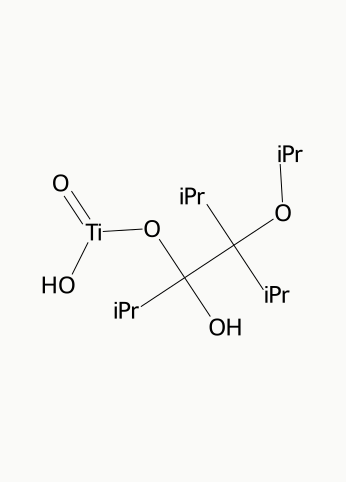 CC(C)OC(C(C)C)(C(C)C)C(O)([O][Ti](=[O])[OH])C(C)C